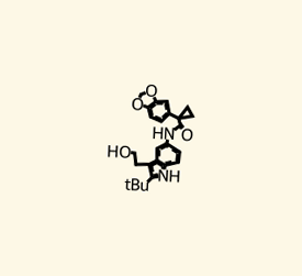 CC(C)(C)c1[nH]c2ccc(NC(=O)C3(c4ccc5c(c4)OCO5)CC3)cc2c1CCO